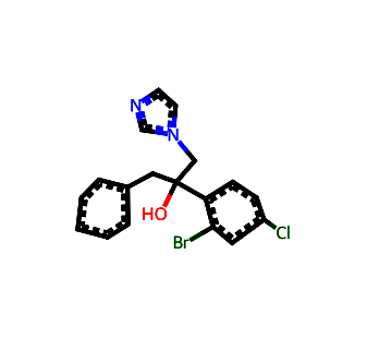 OC(Cc1ccccc1)(Cn1ccnc1)c1ccc(Cl)cc1Br